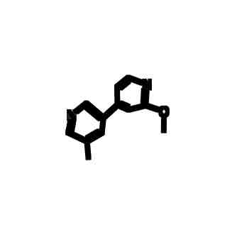 COc1cc(-c2cncc(C)c2)ccn1